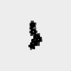 O=C(Nc1nccs1)c1cccn2cc(-c3ccc(CN4CCCC4)cc3)nc12